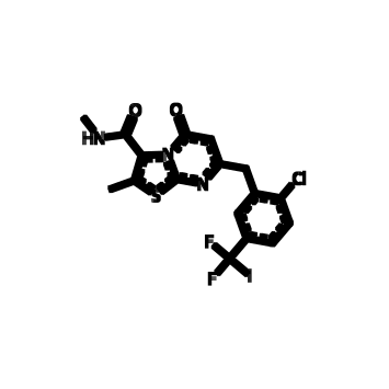 CNC(=O)c1c(C)sc2nc(Cc3cc(C(F)(F)I)ccc3Cl)cc(=O)n12